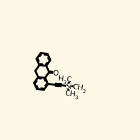 C[Si](C)(C)C#Cc1cccc2c1C(=O)c1ccccc1C2